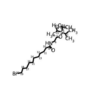 CC(C)[Si](OCCNC(=O)CCCCCCCCCCBr)(C(C)C)C(C)C